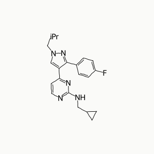 CC(C)Cn1cc(-c2ccnc(NCC3CC3)n2)c(-c2ccc(F)cc2)n1